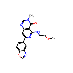 COCCNc1nc(-c2ccc3ocnc3c2)cc2ncn(C)c(=O)c12